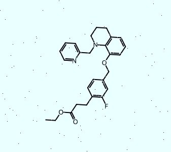 CCOC(=O)CCc1ccc(COc2cccc3c2N(Cc2ccccn2)CCC3)cc1F